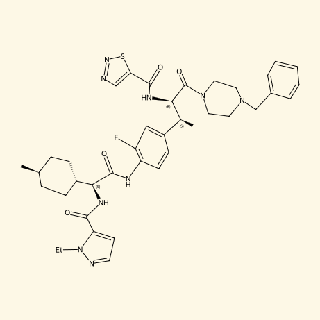 CCn1nccc1C(=O)N[C@H](C(=O)Nc1ccc([C@H](C)[C@@H](NC(=O)c2cnns2)C(=O)N2CCN(Cc3ccccc3)CC2)cc1F)[C@H]1CC[C@H](C)CC1